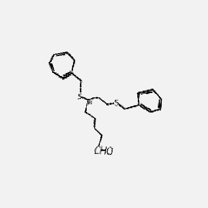 O=CCCCC[C@H](CCSCc1ccccc1)SCC1=CC=CC=CC1